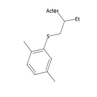 CCC(CSc1cc(C)ccc1C)NC(C)=O